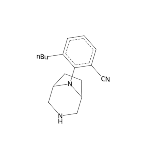 CCCCc1cccc(C#N)c1N1C2CCC1CNC2